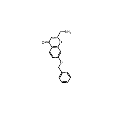 NCc1cc(=O)c2ccc(OCc3ccccc3)cc2o1